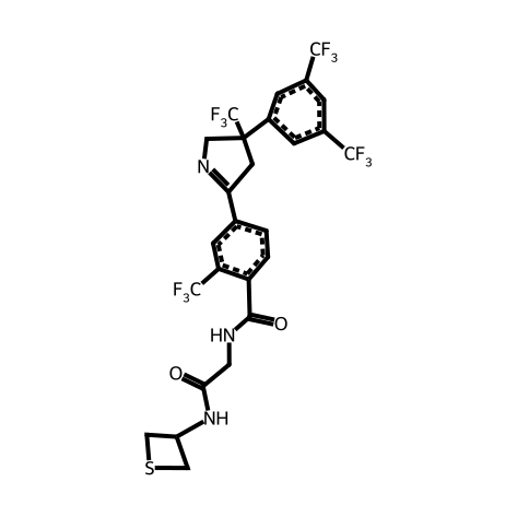 O=C(CNC(=O)c1ccc(C2=NCC(c3cc(C(F)(F)F)cc(C(F)(F)F)c3)(C(F)(F)F)C2)cc1C(F)(F)F)NC1CSC1